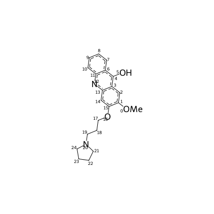 COc1cc2c(O)c3ccccc3nc2cc1OCCCN1CCCC1